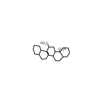 O=C(O)C1CC2C(CCC3CCCCC32C(=O)O)C2=C1C1CCCCC1CC2